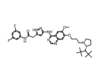 COc1cc2c(Nc3cc(CC(=O)Nc4cc(F)cc(F)c4)[nH]n3)ncnc2cc1OCCCN1CCC[C@H]1[C](C(C)(C)C)C(C)(C)C